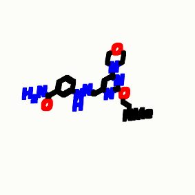 CNCCOc1nc(C=NNc2cccc(C(N)=O)c2)cc(N2CCOCC2)n1